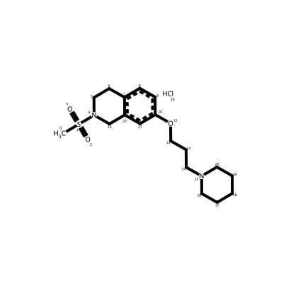 CS(=O)(=O)N1CCc2ccc(OCCCN3CCCCC3)cc2C1.Cl